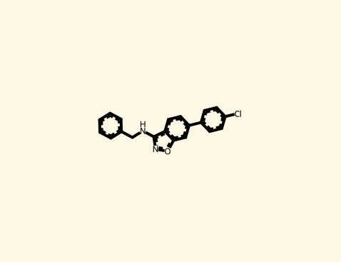 Clc1ccc(-c2ccc3c(NCc4ccccc4)noc3c2)cc1